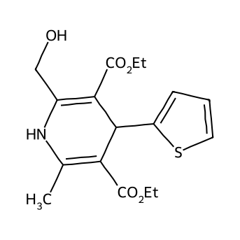 CCOC(=O)C1=C(C)NC(CO)=C(C(=O)OCC)C1c1cccs1